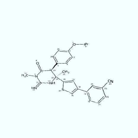 CC(C)Oc1ccc([C@@H]2C(=O)N(C)C(=N)N[C@]2(C)c2cc(-c3cccc(C#N)c3)cs2)cc1